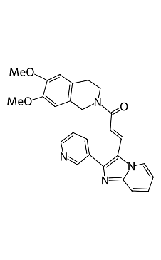 COc1cc2c(cc1OC)CN(C(=O)/C=C/c1c(-c3cccnc3)nc3ccccn13)CC2